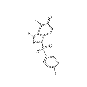 Cc1ccc(S(=O)(=O)n2nc(I)c3c2ccc(=O)n3C)cc1